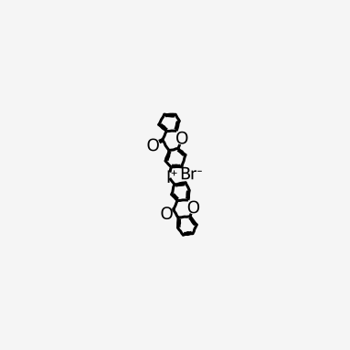 O=c1c2ccccc2oc2ccc([I+]c3ccc4oc5ccccc5c(=O)c4c3)cc12.[Br-]